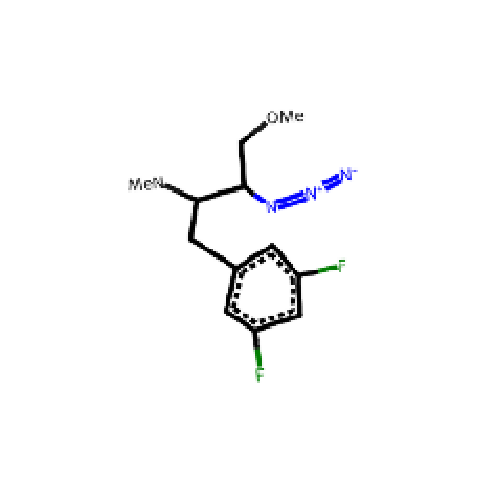 CNC(Cc1cc(F)cc(F)c1)C(COC)N=[N+]=[N-]